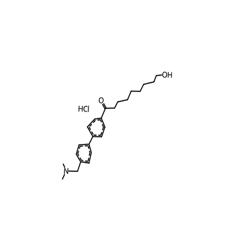 CN(C)Cc1ccc(-c2ccc(C(=O)CCCCCCCCO)cc2)cc1.Cl